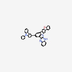 C1=CC2=Nc3c(n4c5cc6c(cc5c5cc(-c7ccc8c(c7)c7ccccc7n8-c7ccccc7)cc3c54)oc3ccccc36)NC2C=C1